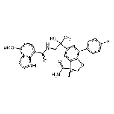 COc1ccc(C(=O)NCC(O)(c2cc3c(c(-c4ccc(F)cc4)n2)OC[C@]3(C)C(N)=O)C(F)(F)F)c2[nH]ccc12